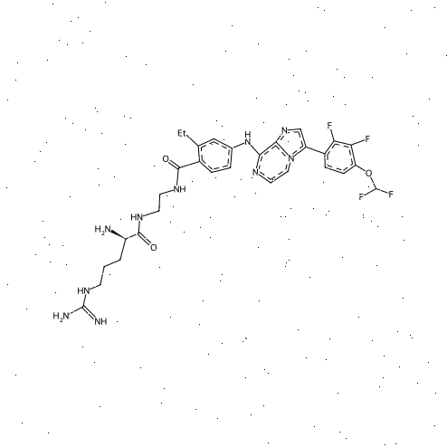 CCc1cc(Nc2nccn3c(-c4ccc(OC(F)F)c(F)c4F)cnc23)ccc1C(=O)NCCNC(=O)[C@H](N)CCCNC(=N)N